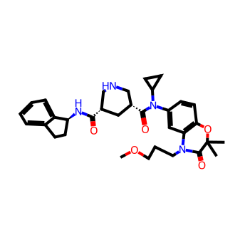 COCCCN1C(=O)C(C)(C)Oc2ccc(N(C(=O)[C@H]3CNC[C@@H](C(=O)N[C@H]4CCc5ccccc54)C3)C3CC3)cc21